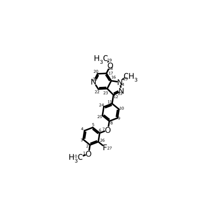 COc1cccc(Oc2ccc(-c3nn(C)c4c(OC)cncc34)cc2)c1F